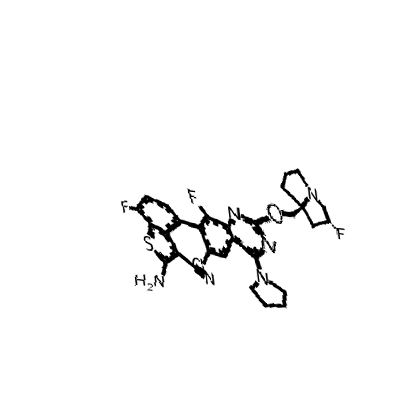 N#Cc1c(N)sc2c(F)ccc(-c3c(Cl)cc4c(N5CCCC5)nc(OC[C@@]56CCCN5C[C@H](F)C6)nc4c3F)c12